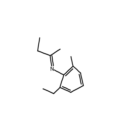 CC/C(C)=N/c1c(C)cccc1CC